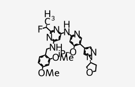 COc1ccc(CNc2cc(Nc3cc(OC(C)C)c(-c4cnn([C@H]5CCOC5)c4)cn3)nc([C@H](C)F)n2)c(OC)c1